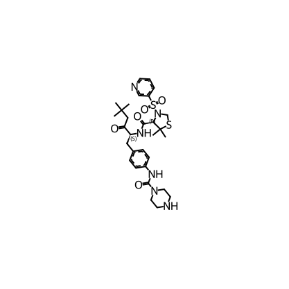 CC(C)(C)CC(=O)[C@H](Cc1ccc(NC(=O)N2CCNCC2)cc1)NC(=O)[C@H]1N(S(=O)(=O)c2cccnc2)CSC1(C)C